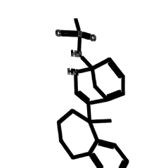 CC1(C2=CNC3(NS(C)(=O)=O)C=CC=C2C3)CCCCc2ccccc21